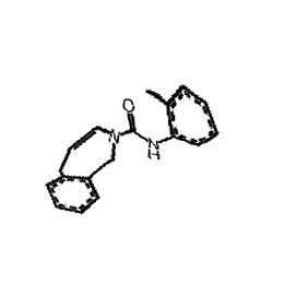 Cc1ccccc1NC(=O)N1C=Cc2ccccc2C1